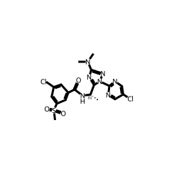 C[C@H](NC(=O)c1cc(Cl)cc(S(C)(=O)=O)c1)c1nc(N(C)C)nn1-c1ncc(Cl)cn1